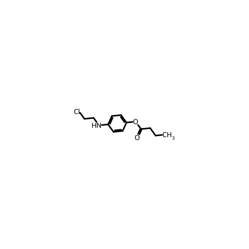 CCCC(=O)Oc1ccc(NCCCl)cc1